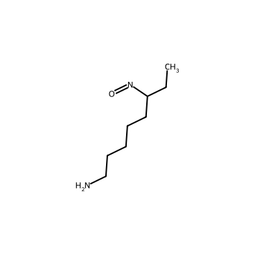 CCC(CCCCCN)N=O